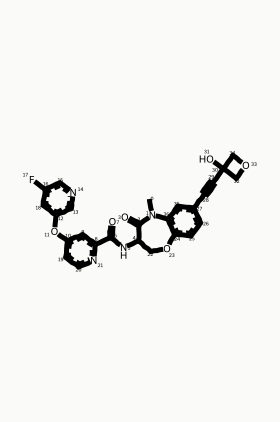 CN1C(=O)C(NC(=O)c2cc(Oc3cncc(F)c3)ccn2)COc2ccc(C#CC3(O)COC3)cc21